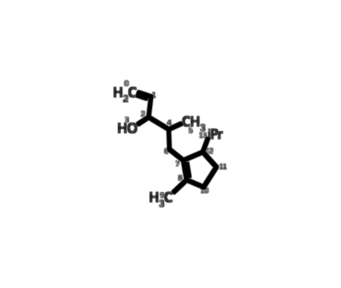 C=CC(O)C(C)CC1=C(C)CCC1C(C)C